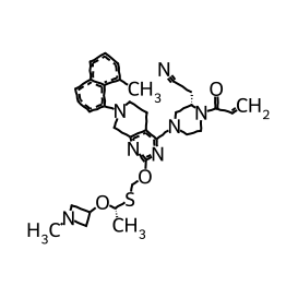 C=CC(=O)N1CCN(c2nc(OCS[C@H](C)OC3CN(C)C3)nc3c2CCN(c2cccc4cccc(C)c24)C3)C[C@@H]1CC#N